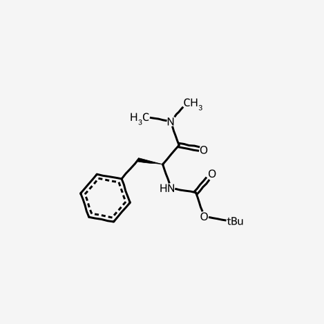 CN(C)C(=O)[C@H](Cc1ccccc1)NC(=O)OC(C)(C)C